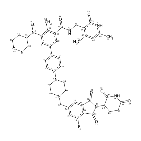 CCN(c1cc(-c2ccc(N3CCN(Cc4cc(F)c5c(c4)C(=O)N(C4CCC(=O)NC4=O)C5=O)CC3)cc2)cc(C(=O)NCc2c(C)cc(C)[nH]c2=O)c1C)C1CCOCC1